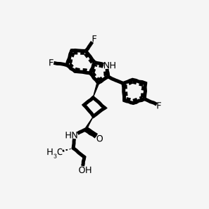 C[C@@H](CO)NC(=O)[C@H]1C[C@@H](c2c(-c3ccc(F)cc3)[nH]c3c(F)cc(F)cc32)C1